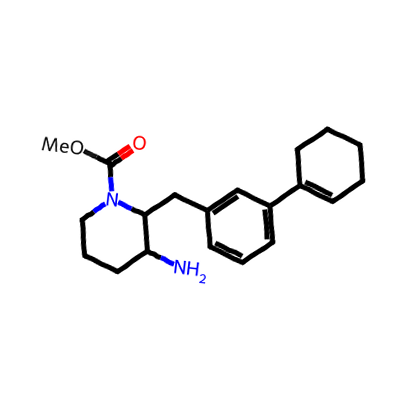 COC(=O)N1CCCC(N)C1Cc1cccc(C2=CCCCC2)c1